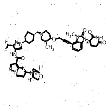 C[C@H]1CN(C[C@H]2CC[C@H](n3cc(NC(=O)c4cnn5ccc(N6C[C@@H]7C[C@H]6CO7)nc45)c(C(F)F)n3)CC2)CC[C@@H]1OCC#Cc1cccc2c1n(C)c(=O)n2[C@@H]1CCC(=O)NC1=O